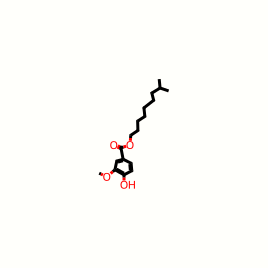 COc1cc(C(=O)OCCCCCCCC(C)C)ccc1O